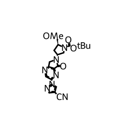 COC[C@@H]1C[C@@H](N2Cc3ncc(-n4cc(C#N)cn4)nc3C2=O)CN1C(=O)OC(C)(C)C